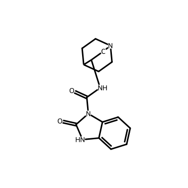 O=C(NC1CN2CCC1CC2)n1c(=O)[nH]c2ccccc21